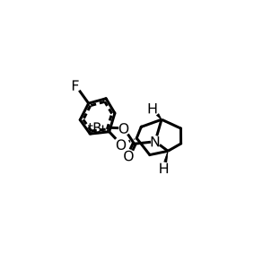 CC(C)(C)OC(=O)N1[C@@H]2CC[C@H]1C[C@@H](Oc1ccc(F)cc1)C2